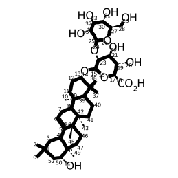 CC1(C)CC2C3=CCC4[C@@]5(C)CC[C@H](OC6O[C@H](C(=O)O)[C@@H](O)[C@H](O)[C@H]6OC6O[C@H](CO)[C@@H](O)[C@H](O)[C@H]6O)C(C)(C)C5CC[C@@]4(C)[C@]3(C)CC[C@@]2(C)[C@H](O)C1